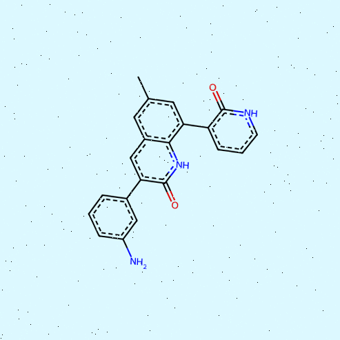 Cc1cc(-c2ccc[nH]c2=O)c2[nH]c(=O)c(-c3cccc(N)c3)cc2c1